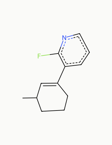 CC1C=C(c2cccnc2F)CCC1